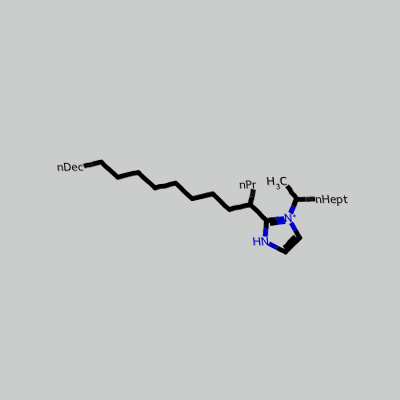 CCCCCCCCCCCCCCCCCCC(CCC)c1[nH]cc[n+]1C(C)CCCCCCC